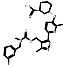 Cc1nc(-c2onc(C)c2COC(=O)N(C)Cc2cccc(F)c2)ccc1O[C@H]1CCC[C@H](C(=O)O)C1